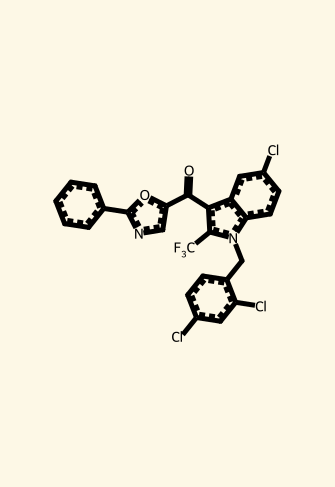 O=C(c1cnc(-c2ccccc2)o1)c1c(C(F)(F)F)n(Cc2ccc(Cl)cc2Cl)c2ccc(Cl)cc12